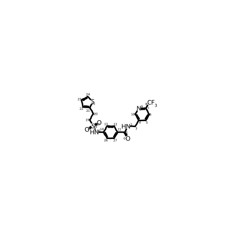 O=C(NCc1ccc(C(F)(F)F)nc1)c1ccc(NS(=O)(=O)CCc2cccs2)cc1